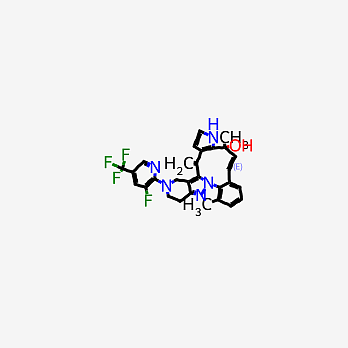 C=C1c2cc[nH]c2C(C)(O)/C=C/c2cccc(C)c2-n2nc3c(c21)CN(c1ncc(C(F)(F)F)cc1F)CC3